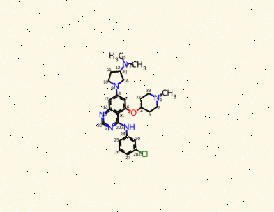 CN1CCC(Oc2cc(N3CC[C@@H](N(C)C)C3)cc3ncnc(Nc4cccc(Cl)c4)c23)CC1